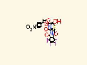 C[C@@]1(O)CS[C@@H]2C(N3C(=O)c4c(I)c(I)c(I)c(I)c4C3=O)C(=O)N2C1C(=O)OCc1ccc([N+](=O)[O-])cc1